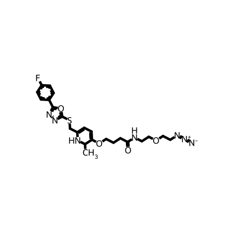 CC1NC(CSc2nnc(-c3ccc(F)cc3)o2)=CC=C1OCCCC(=O)NCCOCCN=[N+]=[N-]